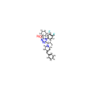 CCC(c1nnc(C2(O)CCCCC2)n1-c1ccc(F)c(F)c1)N1CCC(Cc2ccccc2)CC1